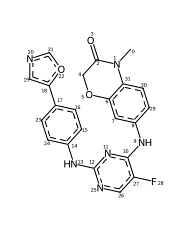 CN1C(=O)COc2cc(Nc3nc(Nc4ccc(-c5cnco5)cc4)ncc3F)ccc21